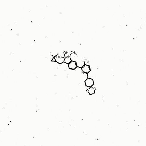 Cc1ccc(N2CCC3(CC2)OCCO3)nc1-c1ccc2c(c1)N(C)S(O)(O)N2CC1CC1(F)F